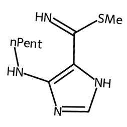 CCCCCNc1nc[nH]c1C(=N)SC